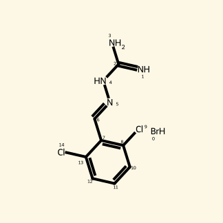 Br.N=C(N)N/N=C/c1c(Cl)cccc1Cl